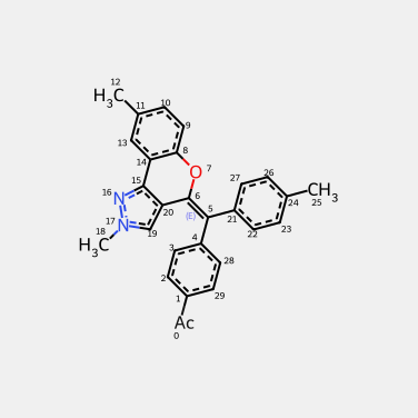 CC(=O)c1ccc(/C(=C2/Oc3ccc(C)cc3-c3nn(C)cc32)c2ccc(C)cc2)cc1